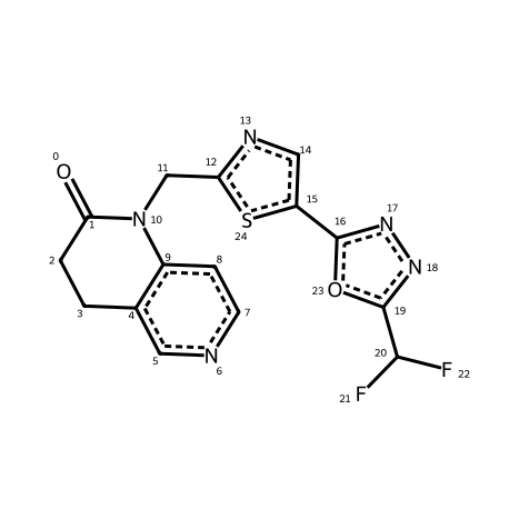 O=C1CCc2cnccc2N1Cc1ncc(-c2nnc(C(F)F)o2)s1